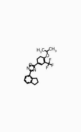 CC(C)OC1=C(C(F)(F)F)C=C(c2nc(-c3cccc4c3CCC4)no2)CC1